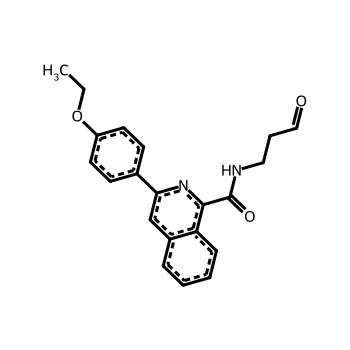 CCOc1ccc(-c2cc3ccccc3c(C(=O)NCCC=O)n2)cc1